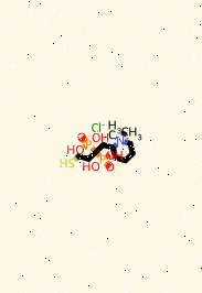 C[N+]1(C)CCCCC1CC(CCS)(P(=O)(O)O)P(=O)(O)O.[Cl-]